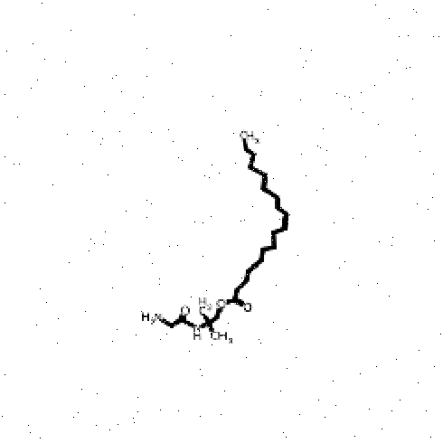 CCCCCCCC/C=C\CCCCCCCC(=O)OCC(C)(C)NC(=O)CN